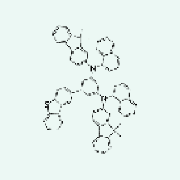 CC1(C)c2ccccc2-c2ccc(N(c3cc(-c4ccc5sc6ccccc6c5c4)cc(N(c4ccc5c(c4)C(C)(C)c4ccccc4-5)c4cccc5ccccc45)c3)c3cccc4ccccc34)cc21